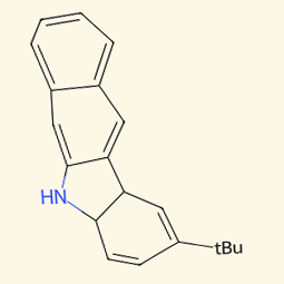 CC(C)(C)C1=CC2c3cc4ccccc4cc3NC2C=C1